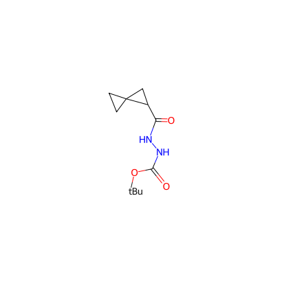 CC(C)(C)OC(=O)NNC(=O)C1CC12CC2